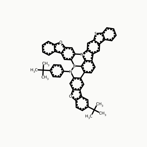 CC(C)(C)c1ccc(N2B3c4cc5c(cc4-n4c6cc7sc8ccccc8c7cc6c6ccc(c3c64)-c3cc4c(cc32)oc2ccc(C(C)(C)C)cc24)oc2ccccc25)cc1